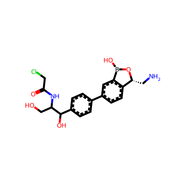 NC[C@H]1OB(O)c2cc(-c3ccc(C(O)C(CO)NC(=O)CCl)cc3)ccc21